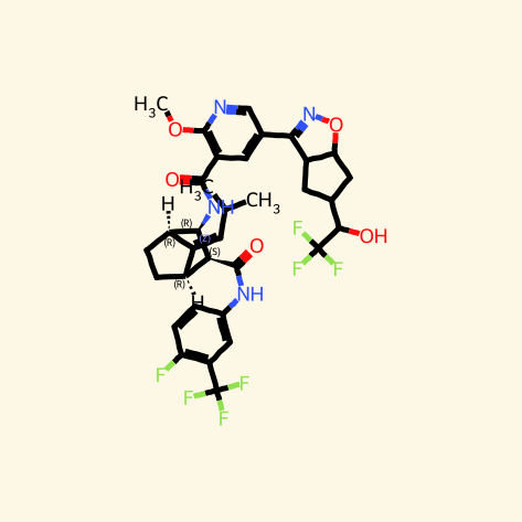 COc1ncc(C2=NOC3CC(C(O)C(F)(F)F)CC23)cc1C(=O)N[C@H]1[C@@H](C(=O)Nc2ccc(F)c(C(F)(F)F)c2)[C@H]2CC[C@@H]1/C2=C\C(C)C